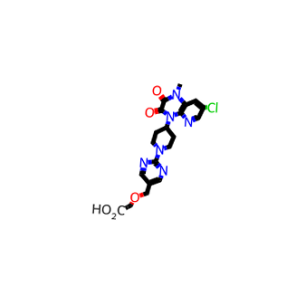 Cn1c(=O)c(=O)n(C2CCN(c3ncc(COCC(=O)O)cn3)CC2)c2ncc(Cl)cc21